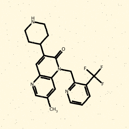 Cc1cnc2cc(C3CCNCC3)c(=O)n(Cc3ncccc3C(F)(F)F)c2c1